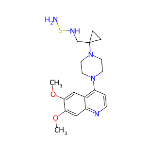 COc1cc2nccc(N3CCN(C4(CNSN)CC4)CC3)c2cc1OC